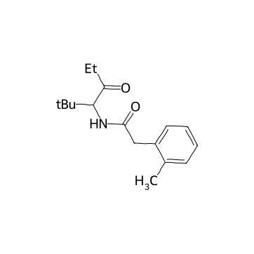 CCC(=O)C(NC(=O)Cc1ccccc1C)C(C)(C)C